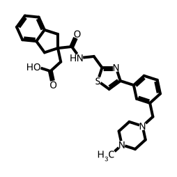 CN1CCN(Cc2cccc(-c3csc(CNC(=O)C4(CC(=O)O)Cc5ccccc5C4)n3)c2)CC1